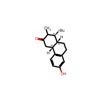 CCCC[C@@H]1C(C)C(=O)C[C@H]2c3ccc(O)cc3CC[C@@H]12